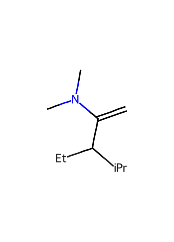 C=C(C(CC)C(C)C)N(C)C